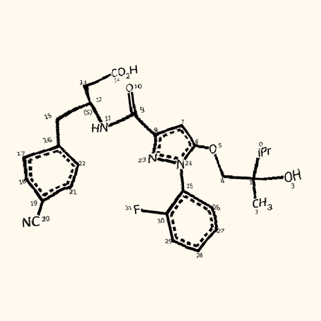 CC(C)C(C)(O)COc1cc(C(=O)N[C@H](CC(=O)O)Cc2ccc(C#N)cc2)nn1-c1ccccc1F